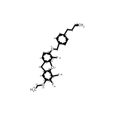 C=CCCc1ccc(COc2ccc3c(c2F)Oc2c(cc(OCC)c(F)c2F)C3)cc1